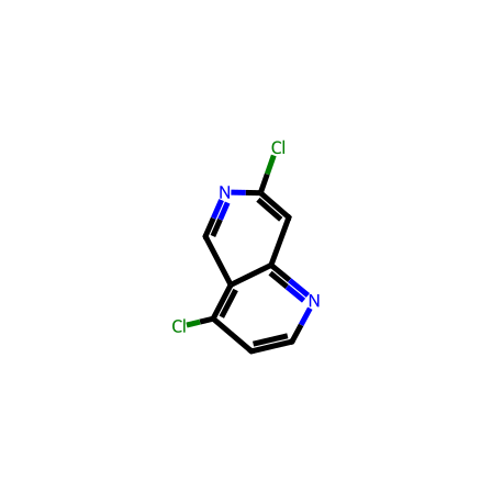 Clc1cc2nccc(Cl)c2cn1